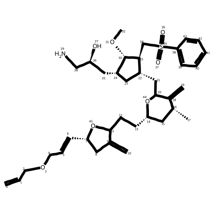 C=CCOC/C=C/[C@H]1CC(=C)C(CC[C@H]2C[C@@H](C)C(=C)C(C[C@@H]3C[C@H](C[C@H](O)CN)[C@H](OC)[C@H]3CS(=O)(=O)c3ccccc3)O2)O1